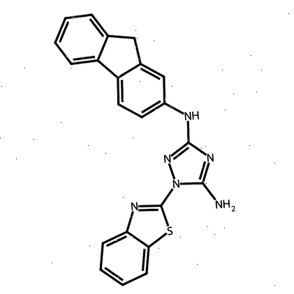 Nc1nc(Nc2ccc3c(c2)Cc2ccccc2-3)nn1-c1nc2ccccc2s1